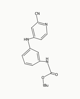 CC(C)(C)OC(=O)Nc1cccc(Nc2ccnc(C#N)c2)c1